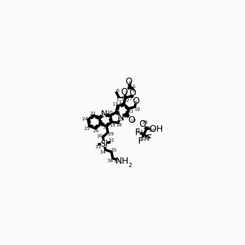 CC[C@@]1(OC(C)=O)C(=O)OCc2c1cc1n(c2=O)Cc2c-1nc1ccccc1c2CC[Si](C)(C)CCCN.O=C(O)C(F)(F)F